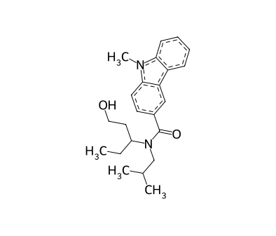 CCC(CCO)N(CC(C)C)C(=O)c1ccc2c(c1)c1ccccc1n2C